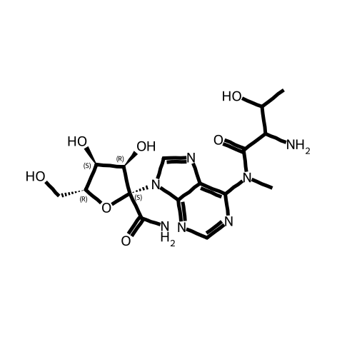 CC(O)C(N)C(=O)N(C)c1ncnc2c1ncn2[C@]1(C(N)=O)O[C@H](CO)[C@@H](O)[C@H]1O